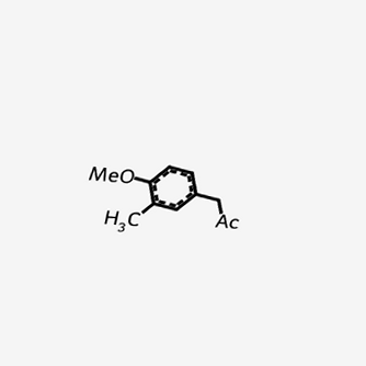 COc1ccc(CC(C)=O)cc1C